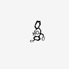 OC(CCl)(Cc1ccccc1F)c1ccc(Cl)cc1F